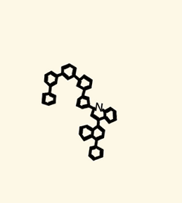 c1ccc(-c2cccc(-c3cccc(-c4cccc(-c5cccc(-c6cc(-c7ccc(-c8ccccc8)c8ccccc78)c7ccccc7n6)c5)c4)c3)c2)cc1